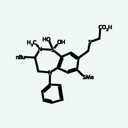 CCCCC1CN(c2ccccc2)c2cc(SC)c(CSCC(=O)O)cc2S(O)(O)N1C